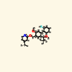 [CH2][C@@H](C)c1ccnc(OCc2cc([C@@H](OC)C(C)(C)C)c(-c3ccccc3F)cc2OC)c1